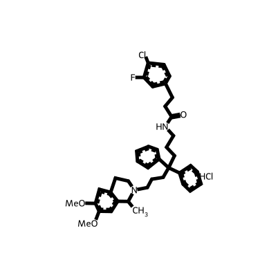 COc1cc2c(cc1OC)C(C)N(CCCC(CCCNC(=O)CCc1ccc(Cl)c(F)c1)(c1ccccc1)c1ccccc1)CC2.Cl